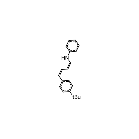 CC(C)(C)c1ccc(/C=C\C=C/Nc2ccccc2)cc1